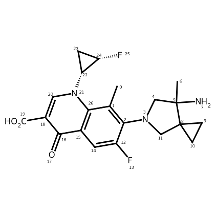 Cc1c(N2CC(C)(N)C3(CC3)C2)c(F)cc2c(=O)c(C(=O)O)cn([C@@H]3C[C@@H]3F)c12